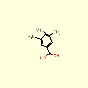 COc1c(C)cc(B(O)O)cc1C